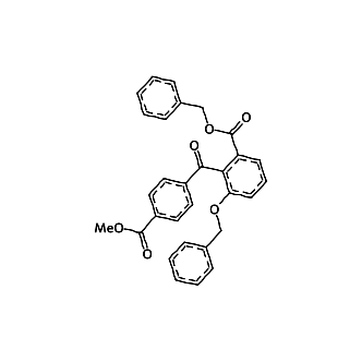 COC(=O)c1ccc(C(=O)c2c(OCc3ccccc3)cccc2C(=O)OCc2ccccc2)cc1